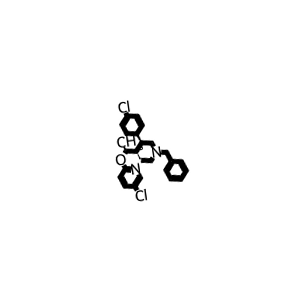 C[C@@H](Oc1ccc(Cl)cn1)[C@H]1CCN(Cc2ccccc2)C[C@@H]1C1C=CC(Cl)=CC1